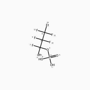 CCCC(F)(OP(=O)(O)O)C(F)(F)C(F)(F)CC